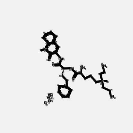 Cl.Cl.Cl.Cn1c(=O)c(NC(=O)[C@@H](CCc2ccccc2)NC(=O)[C@@H](N)CCC[N+](C)(CCN)CCN)cc2ccccc21.[Cl-]